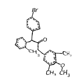 COc1c(C)cc(CC(=O)C(c2ccc(Br)cc2)c2ccccc2C)cc1C